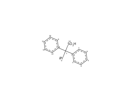 CC(C)C(c1ccccc1)(c1ccccc1)S(=O)(=O)O